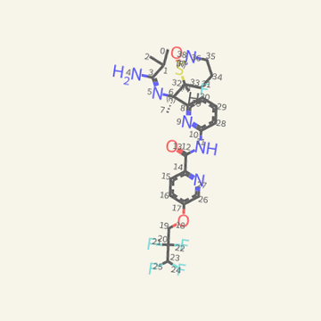 CC1(C)C(N)=N[C@](C)(c2nc(NC(=O)c3ccc(OCC(F)(F)C(F)F)cn3)ccc2F)[C@H]2CCCN=[S@@]21=O